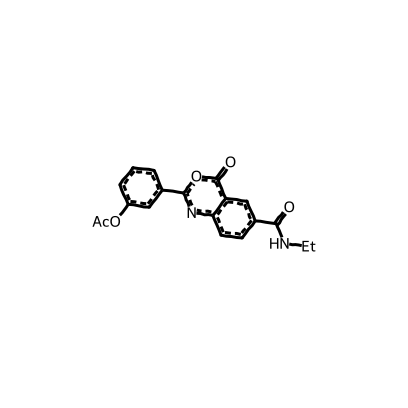 CCNC(=O)c1ccc2nc(-c3cccc(OC(C)=O)c3)oc(=O)c2c1